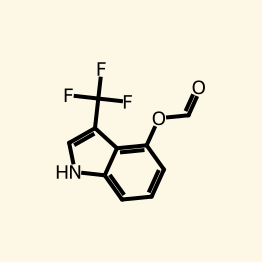 O=COc1cccc2[nH]cc(C(F)(F)F)c12